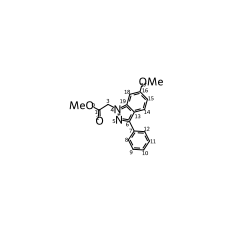 COC(=O)Cn1nc(-c2ccccc2)c2ccc(OC)cc21